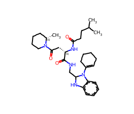 CC(C)CCC(=O)N[C@@H](CC(=O)N1CCCC[C@@H]1C)C(=O)NCC1Nc2ccccc2N1C1=CCCCC1